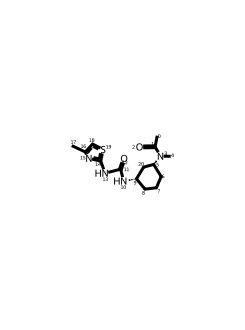 CC(=O)N(C)[C@@H]1CCC[C@H](NC(=O)Nc2nc(C)cs2)C1